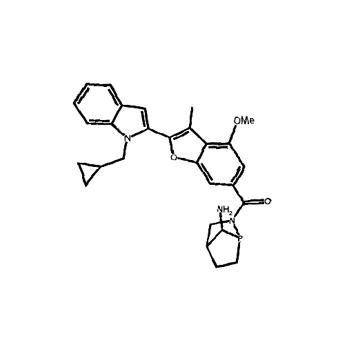 COc1cc(C(=O)N2CC3CCP2C3N)cc2oc(-c3cc4ccccc4n3CC3CC3)c(C)c12